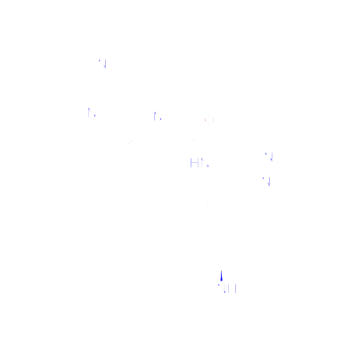 Cn1ncc(NC(=O)c2csc(-c3cnccn3)n2)c1[C@@H]1CC[C@@H](N)CCO1